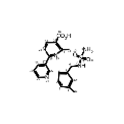 Cc1cccc(CNS(N)(=O)=O)c1.Cc1nc(-c2cccnc2)ncc1C(=O)O